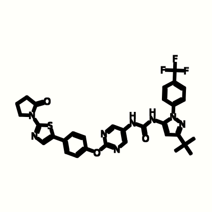 CC(C)(C)c1cc(NC(=O)Nc2cnc(Oc3ccc(-c4cnc(N5CCCC5=O)s4)cc3)nc2)n(-c2ccc(C(F)(F)F)cc2)n1